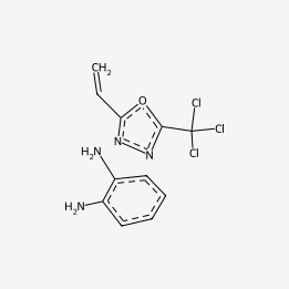 C=Cc1nnc(C(Cl)(Cl)Cl)o1.Nc1ccccc1N